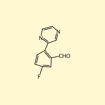 O=Cc1cc(F)ccc1-c1cnccn1